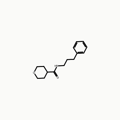 O=C(NCCCc1ccccc1)C1CCOCC1